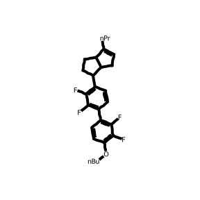 CCCCOc1ccc(-c2ccc(C3CCC4C(CCC)=CCC43)c(F)c2F)c(F)c1F